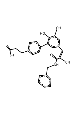 C=C(S)CCc1ccc(-c2cc(C=C(C#N)C(=O)NCc3ccccc3)cc(O)c2O)cc1